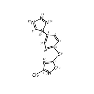 Clc1noc(Sc2ccc(-n3cnnn3)cc2)n1